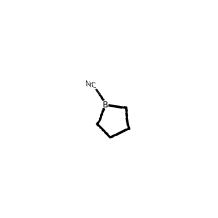 N#CB1CCCC1